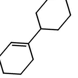 C1=C([C]2CCCCC2)CCCC1